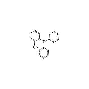 N#Cc1ccccc1P(c1ccccc1)c1ccccc1